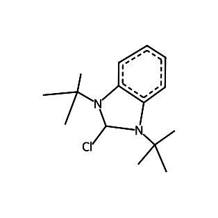 CC(C)(C)N1c2ccccc2N(C(C)(C)C)C1Cl